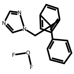 C1=CC2=CC=C1C2(Cn1cncn1)c1ccccc1.FOF